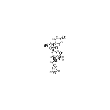 CCC1CCC(N(CC(C)C)S(=O)(=O)C2CCC(OCC3C4COCC43)C(S(C)(C)(N)=O)C2)CC1